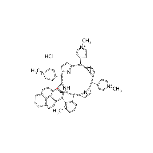 C[n+]1ccc(-c2c3nc(c(-c4cc[n+](C)cc4)c4ccc([nH]4)c(-c4ccc[n+](C)c4-c4ccc5ccc6cccc7ccc4c5c67)c4nc(c(-c5cc[n+](C)cc5)c5ccc2[nH]5)C=C4)C=C3)cc1.Cl